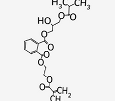 C=C(C)C(=O)OCCOC(=O)c1ccccc1C(=O)OCC(O)COC(=O)C(C)C